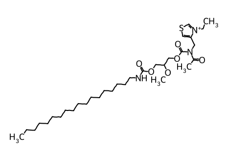 CCCCCCCCCCCCCCCCCCNC(=O)OCC(COC(=O)N(Cc1csc[n+]1CC)C(C)=O)OC